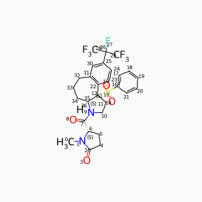 CN1C(=O)CC[C@H]1C(=O)N1CC[C@]2(S(=O)(=O)c3ccccc3)c3ccc(C(F)(C(F)(F)F)C(F)(F)F)cc3CCC[C@H]12